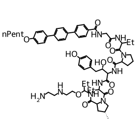 CCCCCOc1ccc(-c2ccc(-c3ccc(C(=O)NCC(=O)NC(CC)C(=O)N4CCCC4C(=O)NC(C(=O)NC(CC)C(=O)N4C[C@H](C)CC4C(=O)NC(CC)OCCNCCN)[C@H](O)Cc4ccc(O)cc4)cc3)cc2)cc1